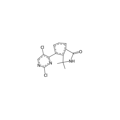 CC1(C)NC(=O)c2cccc(-c3nc(Cl)ncc3Cl)c21